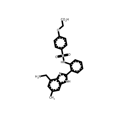 Cc1cc(CN)c2nc(-c3ccccc3NS(=O)(=O)c3ccc(OCC(=O)O)cc3)[nH]c2c1